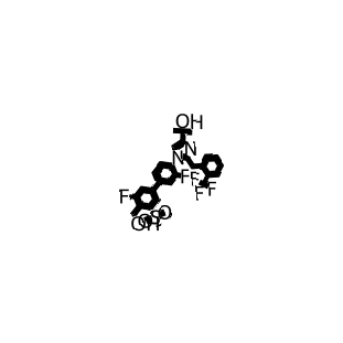 CC(C)(O)c1cn(-c2ccc(-c3cc(F)c(CO)c(S(C)(=O)=O)c3)cc2F)c(Cc2ccccc2C(F)(F)F)n1